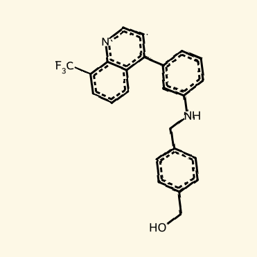 OCc1ccc(CNc2cccc(-c3[c]cnc4c(C(F)(F)F)cccc34)c2)cc1